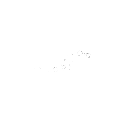 CC(=O)NCCOc1ccc(-c2nc3c(NC4CCN(Cc5ccc(-n6cncn6)cc5)CC4)c(Br)cnc3[nH]2)cc1